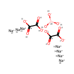 O=C([O-])C(=O)[O-].O=C([O-])C(=O)[O-].[Na+].[Na+].[Na+].[Na+].[Na+].[Na+].[Na+].[O-]B([O-])[O-]